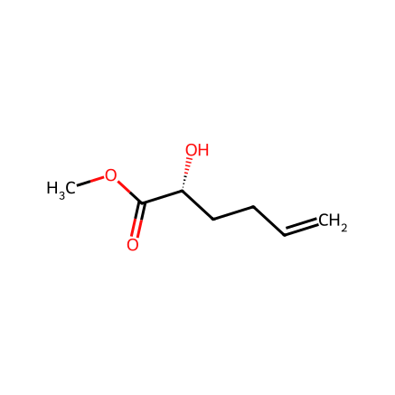 C=CCC[C@@H](O)C(=O)OC